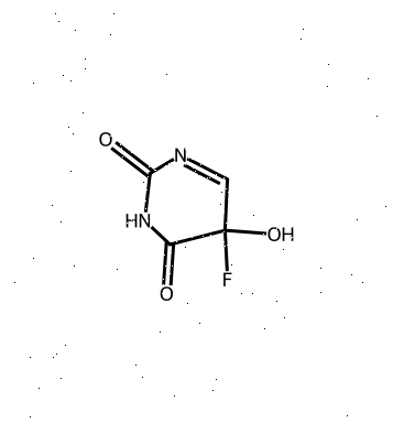 O=C1N=CC(O)(F)C(=O)N1